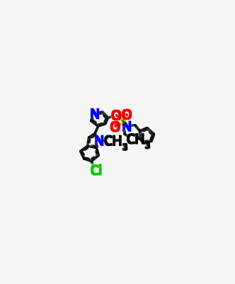 CCN(Cc1ccccc1)S(=O)(=O)Oc1cncc(-c2cc3ccc(Cl)cc3n2C)c1